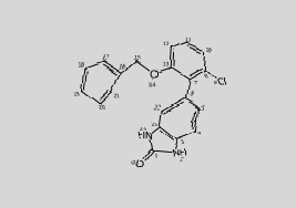 O=c1[nH]c2ccc(-c3c(Cl)cccc3OCc3ccccc3)cc2[nH]1